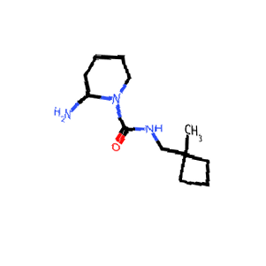 CC1(CNC(=O)N2CCCCC2N)CCC1